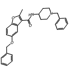 Cc1oc2ccc(OCc3ccccc3)cc2c1C(=O)NC1CCN(Cc2ccccc2)CC1